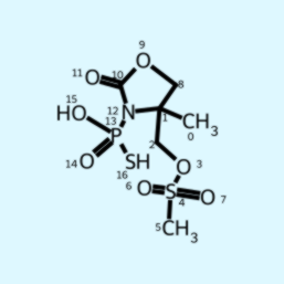 CC1(COS(C)(=O)=O)COC(=O)N1P(=O)(O)S